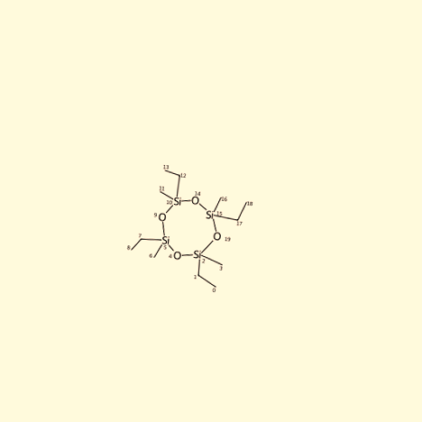 CC[Si]1(C)O[Si](C)(CC)O[Si](C)(CC)O[Si](C)(CC)O1